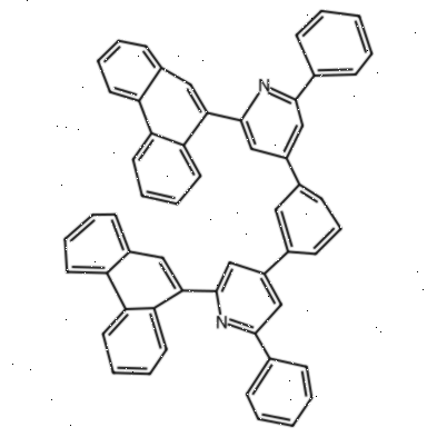 c1ccc(-c2cc(-c3cccc(-c4cc(-c5ccccc5)nc(-c5cc6ccccc6c6ccccc56)c4)c3)cc(-c3cc4ccccc4c4ccccc34)n2)cc1